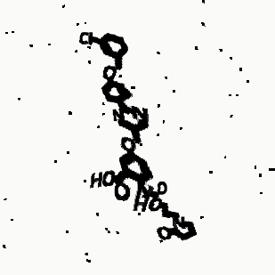 O=C(Nc1ccc(OCc2cnc(-c3ccc(OCc4cccc(Cl)c4)cc3)nc2)cc1C(=O)O)OCCCN1CCCC1=O